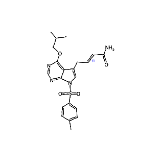 Cc1ccc(S(=O)(=O)n2cc(C/C=C/C(N)=O)c3c(OCC(C)C)ncnc32)cc1